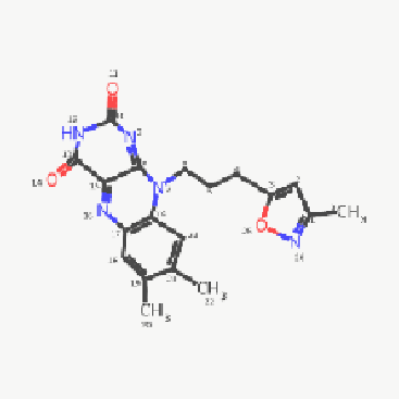 Cc1cc(CCCn2c3nc(=O)[nH]c(=O)c-3nc3cc(C)c(C)cc32)on1